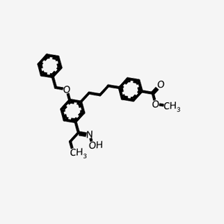 CCC(=NO)c1ccc(OCc2ccccc2)c(CCCc2ccc(C(=O)OC)cc2)c1